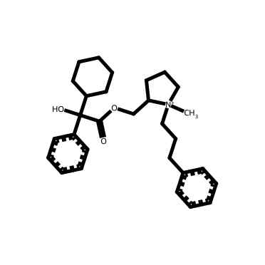 C[N+]1(CCCc2ccccc2)CCCC1COC(=O)C(O)(c1ccccc1)C1CCCCC1